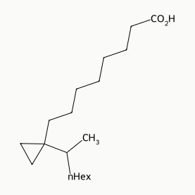 CCCCCCC(C)C1(CCCCCCCC(=O)O)CC1